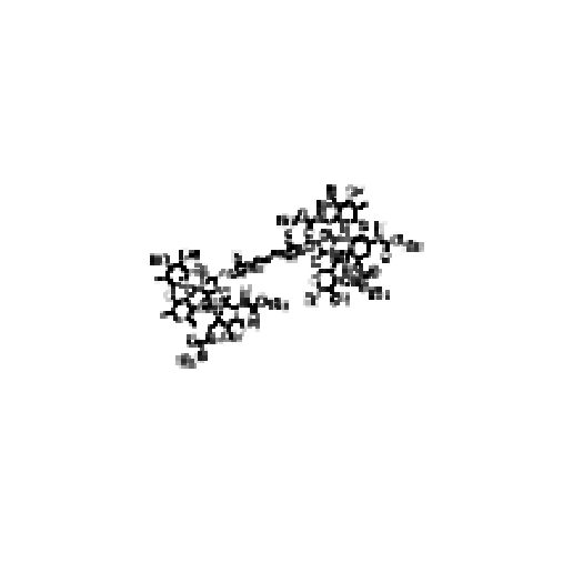 CCC1O[C@@H](OC2C(C)CC(C)[C@H](O)C2O[C@@H]2O[C@H](CNC(=S)NCCCNC(=S)NC[C@H]3O[C@@H](O[C@H]4C(O[C@H]5OC(CNC(=O)OC(C)(C)C)C(O)[C@H](O)C5C)C(NC(=O)OC(C)(C)C)C[C@@H](NC(=O)OC(C)(C)C)C4O)[C@@H](O)C3O[C@H]3O[C@@H](CC)C(O)C(O)C3C)C(O[C@@H]3O[C@H](CNC(=O)OC(C)(C)C)C(O)C(O)C3NC(=O)OC(C)(C)C)C2O)C(C)[C@@H](O)C1O